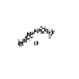 Cc1cc(/N=N/c2scc[n+]2C)ccc1NCCCNc1ccc(/N=N/c2scc[n+]2C)cc1C.[Cl-].[Cl-]